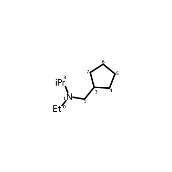 CCN(CC1CCCC1)C(C)C